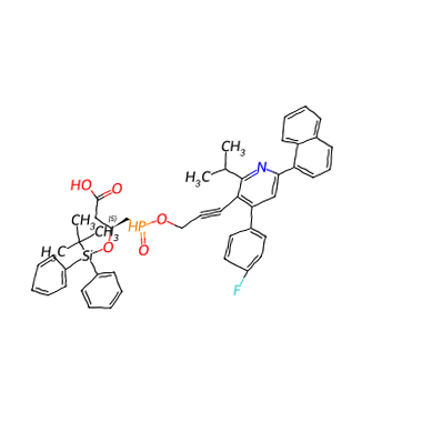 CC(C)c1nc(-c2cccc3ccccc23)cc(-c2ccc(F)cc2)c1C#CCO[PH](=O)C[C@H](CC(=O)O)O[Si](c1ccccc1)(c1ccccc1)C(C)(C)C